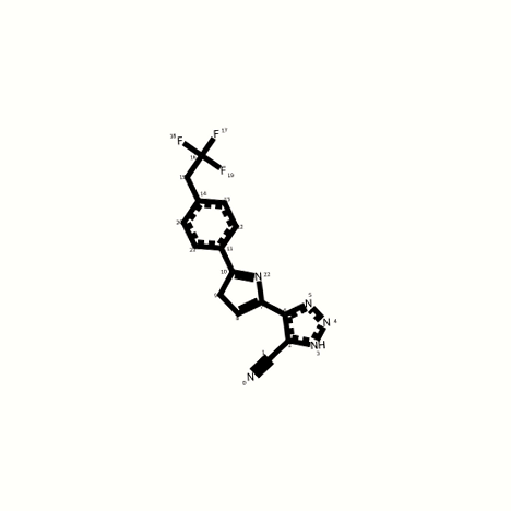 N#Cc1[nH]nnc1C1=CCC(c2ccc(CC(F)(F)F)cc2)=N1